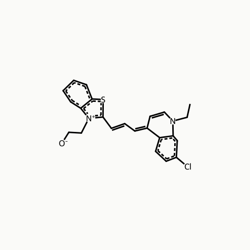 CCN1C=C/C(=C\C=C\c2sc3ccccc3[n+]2CC[O-])c2ccc(Cl)cc21